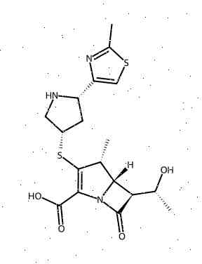 Cc1nc([C@@H]2C[C@H](SC3=C(C(=O)O)N4C(=O)[C@H]([C@@H](C)O)[C@H]4[C@H]3C)CN2)cs1